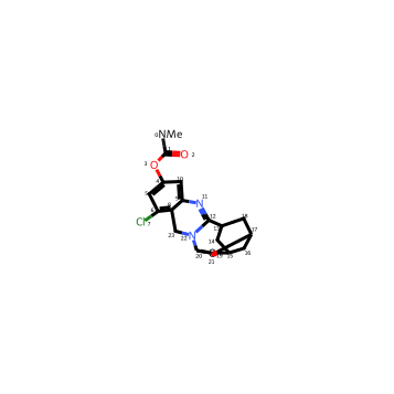 CNC(=O)Oc1cc(Cl)c2c(c1)N=C1C3CC4CC(C3)CC(C4)N1C2